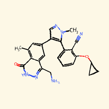 Cc1cc(-c2cnn(C)c2-c2cccc(OC3CC3)c2C#N)cc2c(CN)n[nH]c(=O)c12